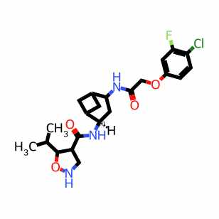 CC(C)C1ONCC1C(=O)N[C@@H]1CC(NC(=O)COc2ccc(Cl)c(F)c2)C2CC1C2